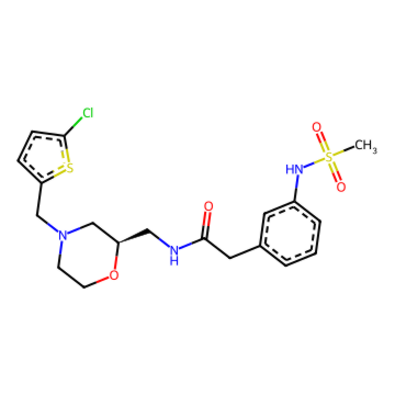 CS(=O)(=O)Nc1cccc(CC(=O)NC[C@@H]2CN(Cc3ccc(Cl)s3)CCO2)c1